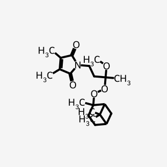 COC(C)(CCN1C(=O)C(C)=C(C)C1=O)OOC1(C)CCC2CC1C2(C)C